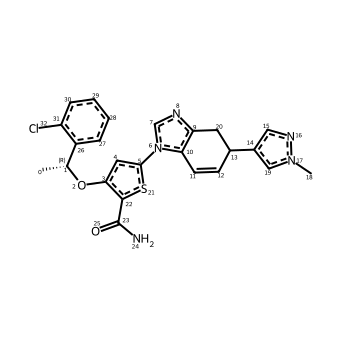 C[C@@H](Oc1cc(-n2cnc3c2C=CC(c2cnn(C)c2)C3)sc1C(N)=O)c1ccccc1Cl